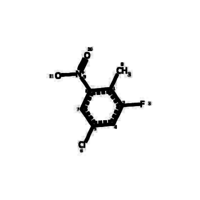 Cc1c(F)cc(Cl)cc1[N+](=O)[O-]